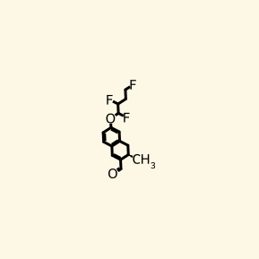 C[C@@H]1Cc2cc(OC(F)C(F)CCF)ccc2C=C1C=O